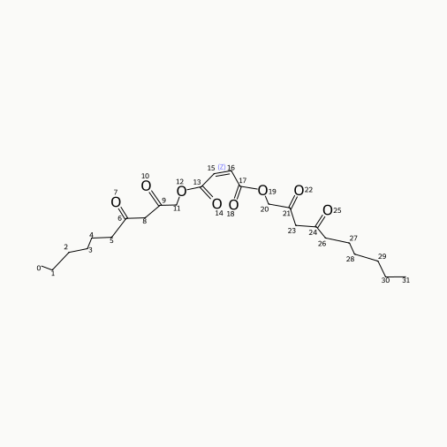 CCCCCCC(=O)CC(=O)COC(=O)/C=C\C(=O)OCC(=O)CC(=O)CCCCCC